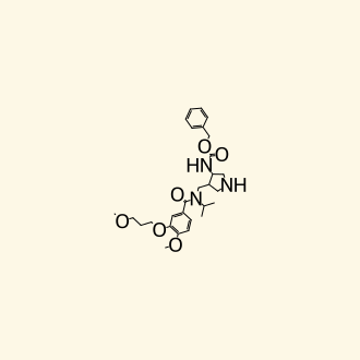 COCCCOc1cc(C(=O)N(CC2CNCC2NC(=O)OCc2ccccc2)C(C)C)ccc1OC